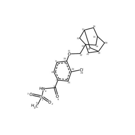 CS(=O)(=O)NC(=O)c1ccc(OCC23CC4CC(CC(C4)C2)C3)c(Cl)c1